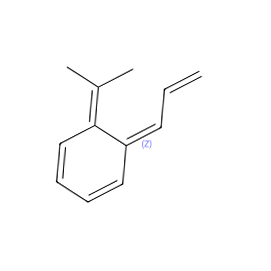 C=C/C=c1/ccccc1=C(C)C